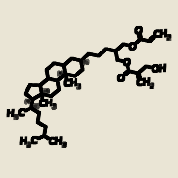 C=CC(=O)OCC(CCC[C@H]1CC[C@@]2(C)C(CCC3C2CC[C@@]2(C)C3CC[C@@H]2[C@H](C)CCCC(C)C)C1)COC(=O)C(=C)CO